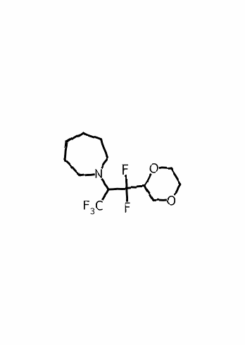 FC(F)(F)C(N1CCCCCC1)C(F)(F)C1COCCO1